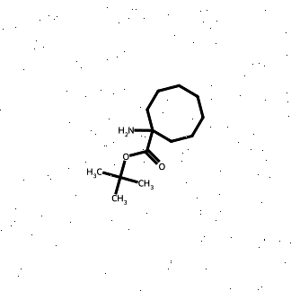 CC(C)(C)OC(=O)C1(N)CCCCCCC1